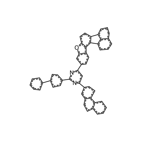 c1ccc(-c2ccc(-c3nc(-c4ccc5c(ccc6ccccc65)c4)cc(-c4ccc5c(c4)oc4ccc6c(c45)-c4cccc5cccc-6c45)n3)cc2)cc1